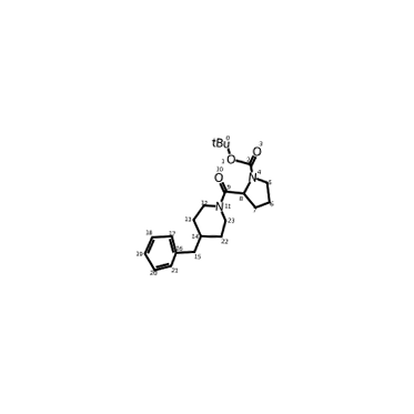 CC(C)(C)OC(=O)N1CCCC1C(=O)N1CCC(Cc2ccccc2)CC1